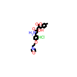 Cc1ccc2cc(CC(O)(CCc3ccc(OCCCN4CCOCC4)cc3)C(N)=O)c(=O)oc2c1.Cl